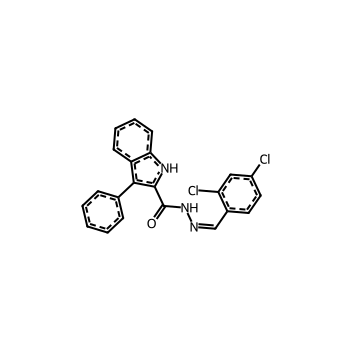 O=C(N/N=C\c1ccc(Cl)cc1Cl)c1[nH]c2ccccc2c1-c1ccccc1